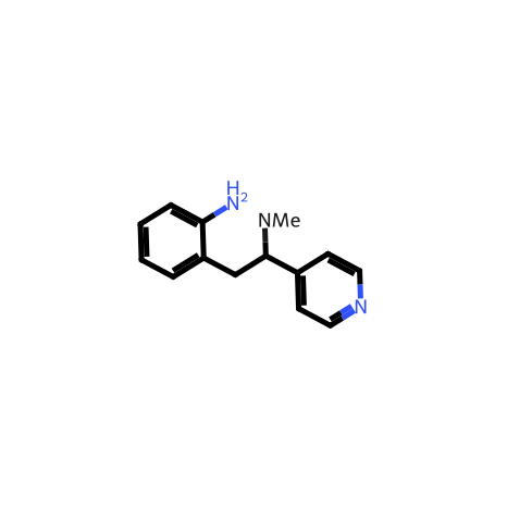 CNC(Cc1ccccc1N)c1ccncc1